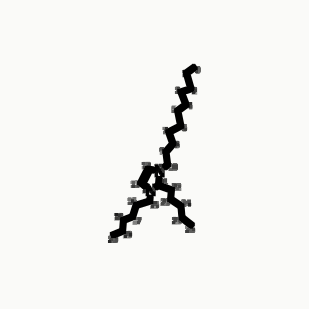 CCCCCCCCCCCN1C=CN(CCCCCC)C1CCCCC